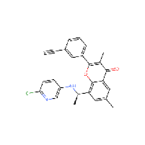 C#Cc1cccc(-c2oc3c([C@@H](C)Nc4ccc(Cl)nc4)cc(C)cc3c(=O)c2C)c1